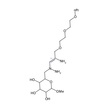 CCCOCCOCCOC/C(N)=C/N(N)CC1OC(OC)C(O)C(O)C1O